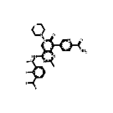 Cc1nc(N[C@H](C)c2cccc(C(F)F)c2F)c2cn(N3CCOCC3)c(=O)c(-c3ccc(C(N)=O)nc3)c2n1